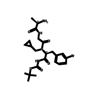 C[C@@H](N)C(=O)NCC(=O)N(CC1CC1)[C@@H](Cc1cccc(Br)c1)C(=O)NC(=O)OC(C)(C)C